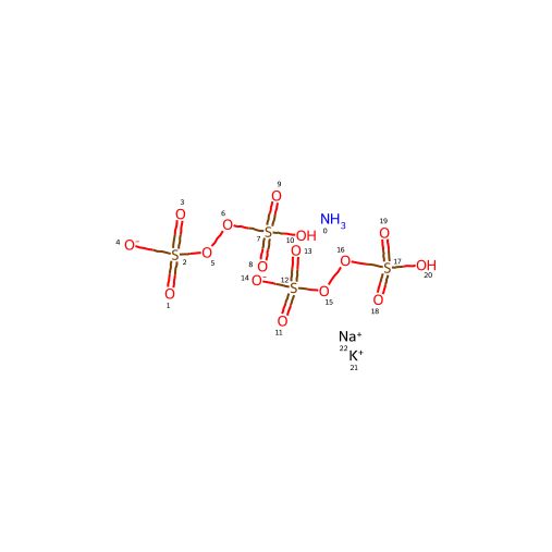 N.O=S(=O)([O-])OOS(=O)(=O)O.O=S(=O)([O-])OOS(=O)(=O)O.[K+].[Na+]